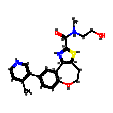 Cc1ccncc1-c1ccc2c(c1)-c1nc(C(=O)N(CCO)C(C)C)sc1CCO2